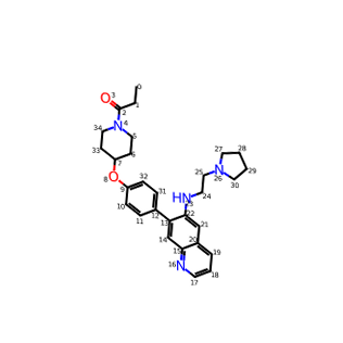 CCC(=O)N1CCC(Oc2ccc(-c3cc4ncccc4cc3NCCN3CCCC3)cc2)CC1